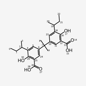 CCC(C)c1cc(C(C)(C)c2cc(C(=O)O)c(O)c(C(C)CC)c2)cc(C(=O)O)c1O